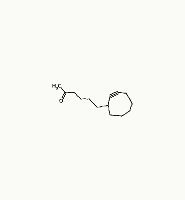 CC(=O)CCCCC1C#CCCCCC1